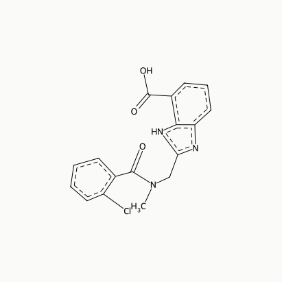 CN(Cc1nc2cccc(C(=O)O)c2[nH]1)C(=O)c1ccccc1Cl